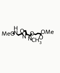 C/N=C(\OCCC(=O)OC)c1coc(CNOC)n1